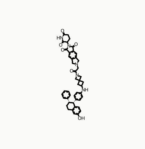 O=C1CCC(N2C(=O)c3cc4c(cc3C2=O)CN(CC(=O)N2CC3(CC(Nc5ccc([C@@H]6c7ccc(O)cc7CC[C@@H]6c6ccccc6)cc5)C3)C2)C4)C(=O)N1